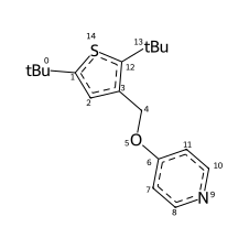 CC(C)(C)c1cc(COc2ccncc2)c(C(C)(C)C)s1